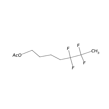 CC(=O)OCCCCC(F)(F)C(C)(F)F